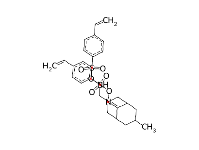 C=Cc1ccc(S(=O)(=O)ON=C2C3CC(C)CC2CC(CNOS(=O)(=O)c2ccc(C=C)cc2)C3)cc1